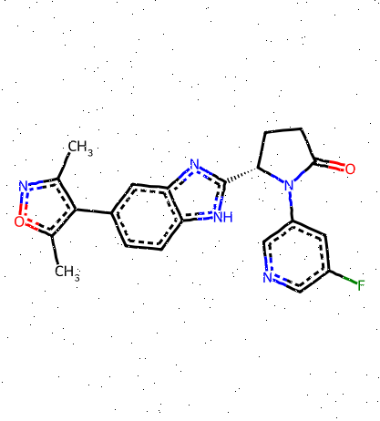 Cc1noc(C)c1-c1ccc2[nH]c([C@@H]3CCC(=O)N3c3cncc(F)c3)nc2c1